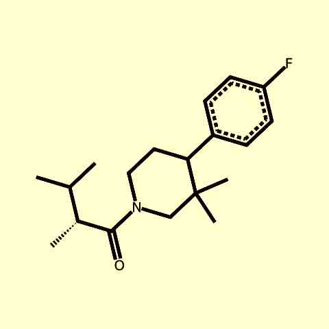 CC(C)[C@@H](C)C(=O)N1CCC(c2ccc(F)cc2)C(C)(C)C1